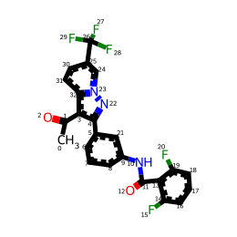 CC(=O)c1c(-c2cccc(NC(=O)c3c(F)cccc3F)c2)nn2cc(C(F)(F)F)ccc12